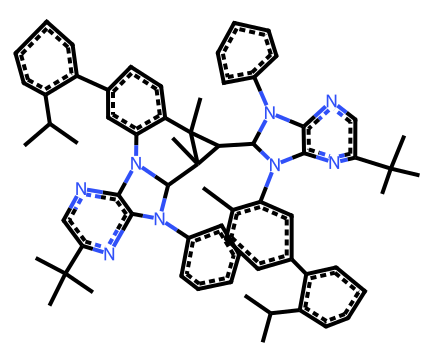 Cc1ccc(-c2ccccc2C(C)C)cc1N1c2nc(C(C)(C)C)cnc2N(c2ccccc2)C1C1C2(C)c3ccc(-c4ccccc4C(C)C)cc3N3c4ncc(C(C)(C)C)nc4N(c4ccccc4)C3C12C